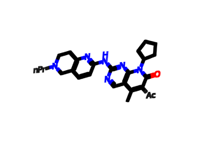 CCCN1CCc2nc(Nc3ncc4c(C)c(C(C)=O)c(=O)n(C5CCCC5)c4n3)ccc2C1